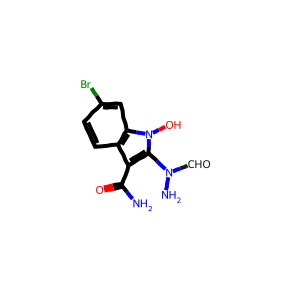 NC(=O)c1c(N(N)C=O)n(O)c2cc(Br)ccc12